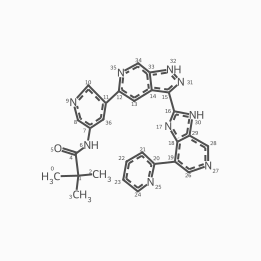 CC(C)(C)C(=O)Nc1cncc(-c2cc3c(-c4nc5c(-c6ccccn6)cncc5[nH]4)n[nH]c3cn2)c1